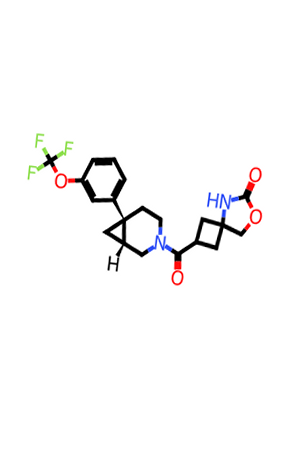 O=C1NC2(CO1)CC(C(=O)N1CC[C@@]3(c4cccc(OC(F)(F)F)c4)C[C@H]3C1)C2